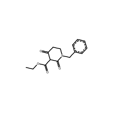 CCOC(=O)C1C(=O)CCN(Cc2ccccc2)C1=O